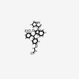 CCOC(=O)c1c(C(c2ccccc2)c2ccc(OCCCl)cc2)c2ccccc2n1C(C)C1CCCN1